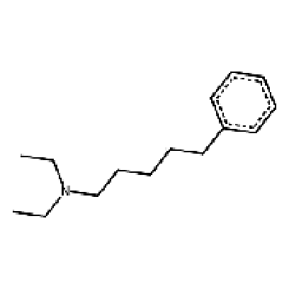 CCN(CC)CCC[CH]Cc1ccccc1